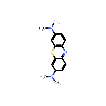 CN(C)c1ccc2c(c1)SC1=CC(N(C)C)C=CC1=N2